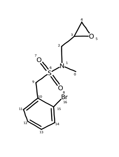 CN(CC1CO1)S(=O)(=O)Cc1ccccc1Br